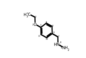 CCOc1ccc(CNN)cc1